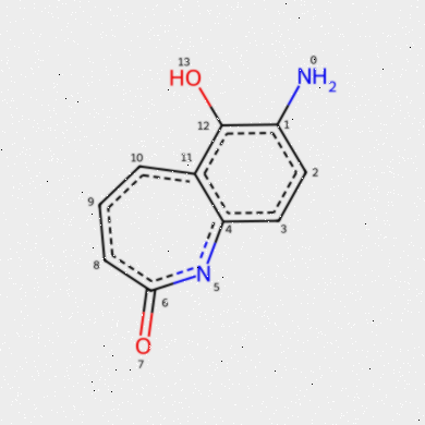 Nc1ccc2nc(=O)cccc2c1O